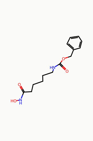 O=C(CCCCCNC(=O)OCc1ccccc1)NO